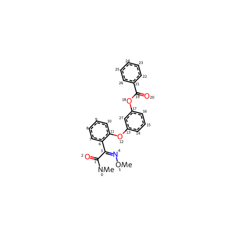 CNC(=O)C(=NOC)c1ccccc1Oc1cccc(OC(=O)c2ccccc2)c1